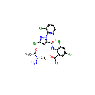 CCC(=O)c1cc(Br)cc(Br)c1NC(=O)c1cc(Br)nn1-c1ncccc1Cl.COC(=O)N(C)N